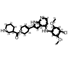 COc1cc(Nc2ccnc3[nH]c(C4=CCN(C(=O)C5CCCNC5)CC4)cc23)c(OC)cc1Cl